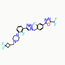 Fc1cc(-c2nnc(C(F)F)o2)ccc1Cn1cc(-c2cccc(N3CCN(CC4CC(F)(F)C4)CC3)c2F)nn1